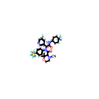 CC1(C)OCCN(C#N)C1C(=O)N(c1ccc(S(F)(F)(F)(F)F)cc1)C(C(=O)NC1CCC(F)(F)CC1)c1cncc(F)c1